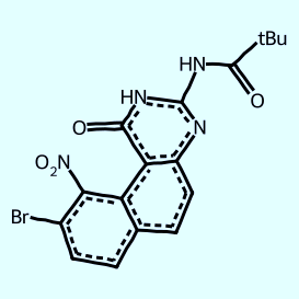 CC(C)(C)C(=O)Nc1nc2ccc3ccc(Br)c([N+](=O)[O-])c3c2c(=O)[nH]1